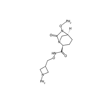 O=C(NOCC1CN(P)C1)[C@@H]1CC[C@H]2CN1C(=O)N2OP